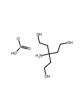 NC(CCO)(CCO)CCO.O=[N+]([O-])O